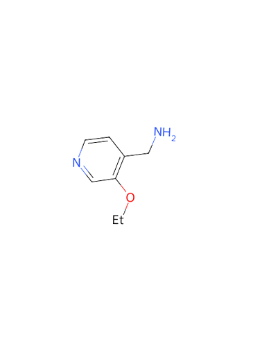 CCOc1cnccc1CN